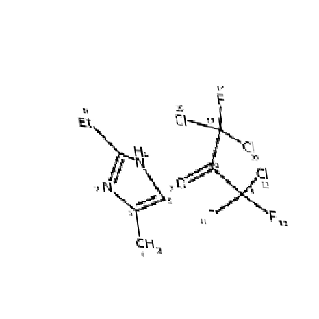 CCc1nc(C)c[nH]1.O=C(C(F)(F)Cl)C(F)(Cl)Cl